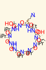 C/C=C/C[C@@H](C)[C@@H](O)[C@H]1C(=O)N[C@@H](CC)C(=O)N(C)[C@H](CSCCCN(C)C)C(=O)N(C)[C@@H](CC(C)(C)O)C(=O)N[C@@H](C(C)C)C(=O)N(C)[C@@H](CC(C)C)C(=O)N[C@@H](C)C(=O)N[C@H](C)C(=O)N(C)[C@@H](CC(C)C)C(=O)N(C)[C@@H](CC(C)C)C(=O)N(C)[C@@H](C(C)C)C(=O)N1C